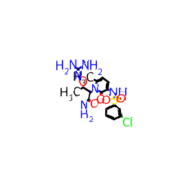 Cc1ccc(NS(=O)(=O)c2cccc(Cl)c2)c(=O)n1C(C(N)=O)C(C)ON=C(N)N